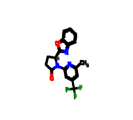 Cc1cc(C(F)(F)F)cc(N2C(=O)CC[C@H]2c2nc3ccccc3o2)n1